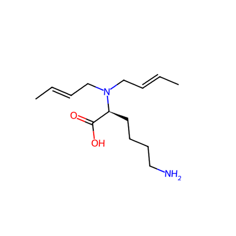 C/C=C/CN(C/C=C/C)[C@@H](CCCCN)C(=O)O